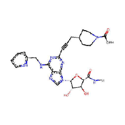 CCNC(=O)[C@H]1O[C@@H](n2cnc3c(NCc4ccccn4)nc(C#CCC4CCN(C(=O)OC)CC4)nc32)[C@@H](O)C1O